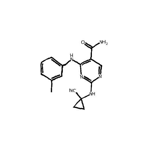 Cc1cccc(Nc2nc(NC3(C#N)CC3)ncc2C(N)=O)c1